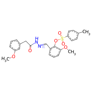 COc1cccc(CC(=O)N/N=C/c2cccc(OC)c2OS(=O)(=O)c2ccc(C)cc2)c1